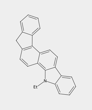 CCn1c2ccccc2c2ccc3c4c(ccc3c21)Cc1ccccc1-4